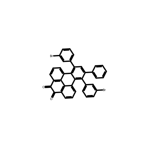 O=c1c(=O)c2cccc3c4c(-c5cccc(Br)c5)c(-c5ccccc5)cc(-c5cccc(Br)c5)c4c4cccc1c4c23